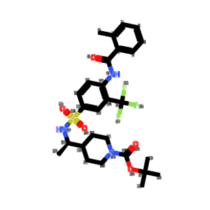 Cc1ccccc1C(=O)Nc1ccc(S(=O)(=O)N[C@H](C)C2CCN(C(=O)OC(C)(C)C)CC2)cc1C(F)(F)F